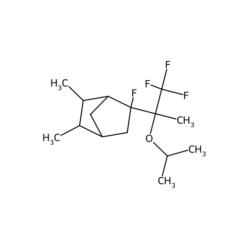 CC(C)OC(C)(C(F)(F)F)C1(F)CC2CC1C(C)C2C